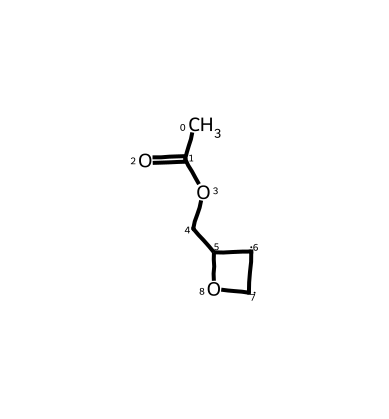 CC(=O)OCC1[CH][CH]O1